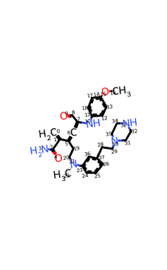 C=C(C(N)=O)C(=C=C(C=O)Nc1ccc(OC)cc1)CCN(C)c1cccc(CCN2CCNCC2)c1